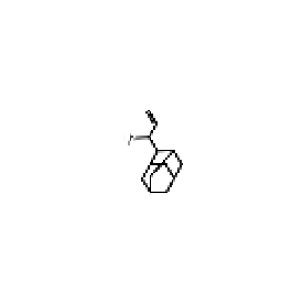 C=CC(N)C1[C]2CC3CC(C2)CC1C3